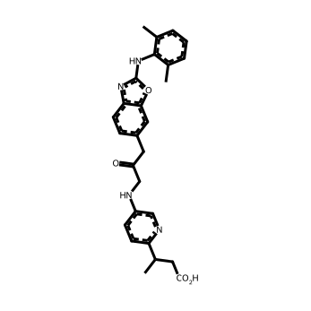 Cc1cccc(C)c1Nc1nc2ccc(CC(=O)CNc3ccc(C(C)CC(=O)O)nc3)cc2o1